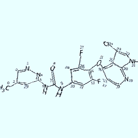 Cc1cnnc(NC(=O)Nc2cc(F)c(Oc3ccnc4[nH]cc(Cl)c34)c(F)c2)c1